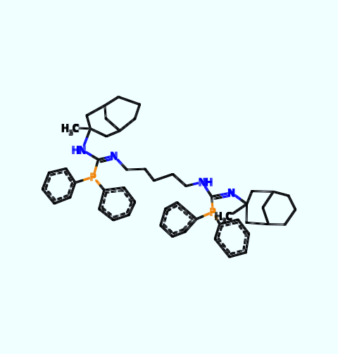 CC1(/N=C(/NCCCCC/N=C(/NC2(C)CC3CCCC(C3)C2)P(c2ccccc2)c2ccccc2)P(c2ccccc2)c2ccccc2)CC2CCCC(C2)C1